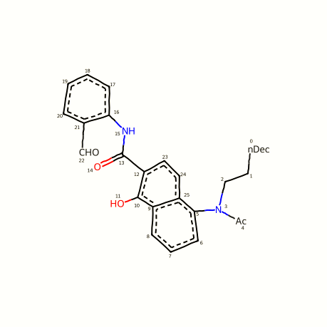 CCCCCCCCCCCCN(C(C)=O)c1cccc2c(O)c(C(=O)Nc3ccccc3C=O)ccc12